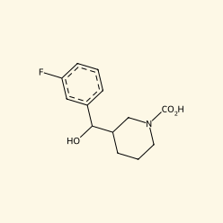 O=C(O)N1CCCC(C(O)c2cccc(F)c2)C1